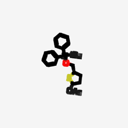 CC(=O)O[C@@H]1CC[C@H](CO[Si](c2ccccc2)(c2ccccc2)C(C)(C)C)S1